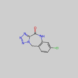 O=C1Nc2cc(Cl)ccc2Cn2nnnc21